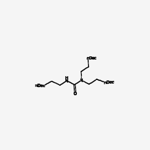 CCCCCCCCCCCCNC(=O)N(CCCCCCCCCCCC)CCCCCCCCCCCC